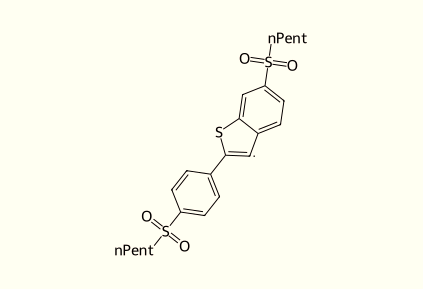 CCCCCS(=O)(=O)c1ccc(-c2[c]c3ccc(S(=O)(=O)CCCCC)cc3s2)cc1